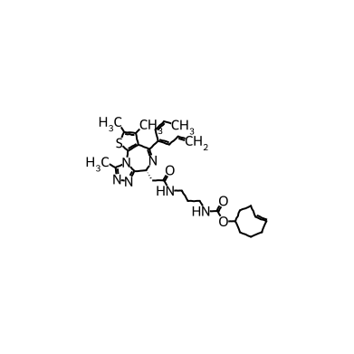 C=C/C=C(\C=C/C)C1=N[C@H](CC(=O)NCCCNC(=O)OC2CC/C=C/CCC2)c2nnc(C)n2-c2sc(C)c(C)c21